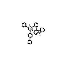 C1=Cc2sc3cccc(-c4ccccc4-c4nc(-c5ccccc5)cc(-c5ccc(-c6ccccc6)cc5)n4)c3c2CC1